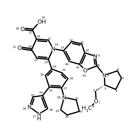 COC[C@H]1CCCN1c1nc2ccc(-n3cc(C(=O)O)c(=O)cc3-c3ccc(N4CCCC4)c(-c4cn[nH]c4)c3)cc2o1